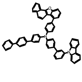 c1ccc(-c2ccc(-c3ccc(N(c4ccc(-c5cccc(-n6c7ccccc7c7ccccc76)c5)cc4)c4ccc(-c5cccc6oc7c8ccccc8ccc7c56)cc4)cc3)cc2)cc1